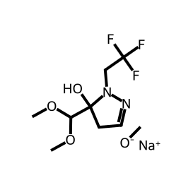 COC(OC)C1(O)CC=NN1CC(F)(F)F.C[O-].[Na+]